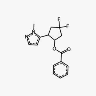 Cn1nccc1C1CC(F)(F)CC1OC(=O)c1ccccc1